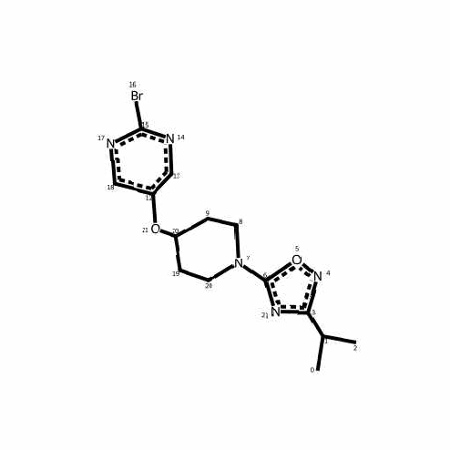 CC(C)c1noc(N2CCC(Oc3cnc(Br)nc3)CC2)n1